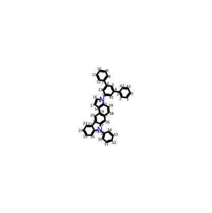 c1ccc(-c2cc(-c3ccccc3)cc(-n3ccc4c5cc6c7ccccc7n(-c7ccccc7)c6cc5ccc43)c2)cc1